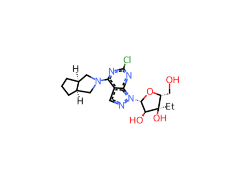 CC[C@@]1(O)[C@@H](CO)O[C@@H](n2ncc3c(N4C[C@H]5CCC[C@H]5C4)nc(Cl)nc32)[C@@H]1O